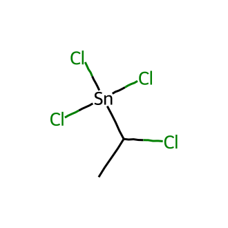 C[CH](Cl)[Sn]([Cl])([Cl])[Cl]